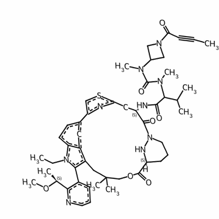 CC#CC(=O)N1CC(N(C)C(=O)N(C)C(C(=O)N[C@H]2Cc3nc(cs3)-c3ccc4c(c3)c(c(-c3cccnc3[C@H](C)OC)n4CC)CC(C)(C)COC(=O)[C@@H]3CCCN(N3)C2=O)C(C)C)C1